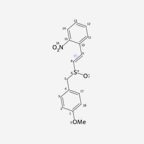 COc1ccc(C[S+]([O-])/C=C/c2ccccc2[N+](=O)[O-])cc1